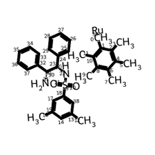 Cc1c(C)c(C)c(C)c(C)c1C.Cc1cc(C)cc(S(=O)(=O)N[C@H](c2ccccc2)[C@H](N)c2ccccc2)c1.[Ru]